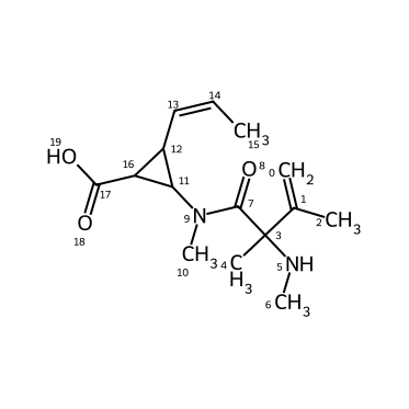 C=C(C)C(C)(NC)C(=O)N(C)C1C(/C=C\C)C1C(=O)O